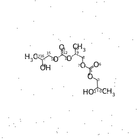 CC(O)COC(=O)OCC(C)OC(=O)OCC(C)O